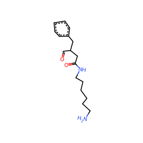 NCCCCCCNC(=O)CC([C]=O)Cc1ccccc1